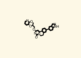 O=c1nc(OCC2COc3ncccc3O2)cc2n1CCc1cc(-c3ccc4[nH]ncc4c3)ccc1-2